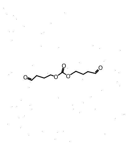 O=CCCCOC(=O)OCCCC=O